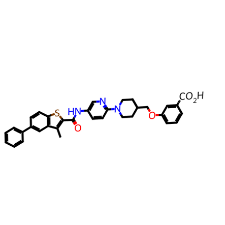 Cc1c(C(=O)Nc2ccc(N3CCC(COc4cccc(C(=O)O)c4)CC3)nc2)sc2ccc(-c3ccccc3)cc12